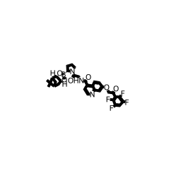 CC1(C)C2CC1[C@H]1OB([C@@H]3CCCN3C(=O)CNC(=O)c3ccnc4cc(OCC(=O)c5c(F)c(F)cc(F)c5F)ccc34)O[C@H]1C2